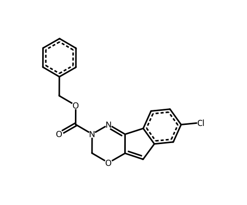 O=C(OCc1ccccc1)N1COC2=Cc3cc(Cl)ccc3C2=N1